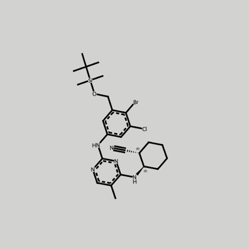 Cc1cnc(Nc2cc(Cl)c(Br)c(CO[Si](C)(C)C(C)(C)C)c2)nc1N[C@@H]1CCCC[C@H]1C#N